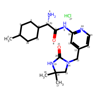 CC1CCC([C@H](N)C(=O)Nc2cc(CN3CC(C)(C)NC3=O)ccn2)CC1.Cl